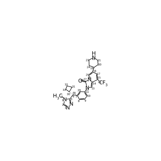 Cn1cnnc1[C@@H](c1cccc(-n2cc3c(C(F)(F)F)cc(C4CCNCC4)cn3c2=O)c1)C1CCC1